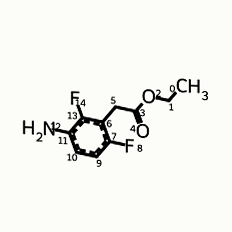 CCOC(=O)Cc1c(F)ccc(N)c1F